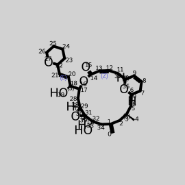 C=C1C[C@H](C)C[C@@H]2CC=C[C@@H](C/C=C\C(=O)OC([C@@H](O)/C=C/C3CCCCO3)C[C@@H]3O[C@H]3[C@@H](O)C1)O2